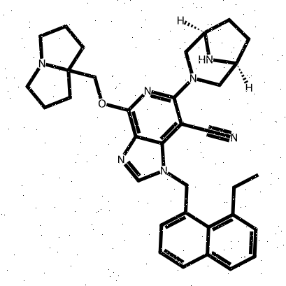 CCc1cccc2cccc(Cn3cnc4c(OCC56CCCN5CCC6)nc(N5C[C@H]6CC[C@@H](C5)N6)c(C#N)c43)c12